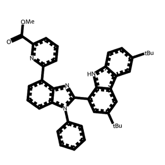 COC(=O)c1cccc(-c2cccc3c2nc(-c2cc(C(C)(C)C)cc4c2[nH]c2ccc(C(C)(C)C)cc24)n3-c2ccccc2)n1